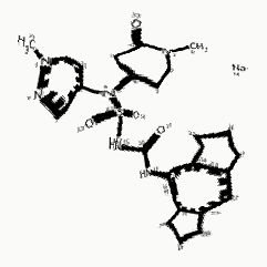 CN1CCC(N(c2cnn(C)c2)S(=O)(=O)NC(=O)Nc2c3c(cc4c2CCC4)CCC3)CC1=O.[Na]